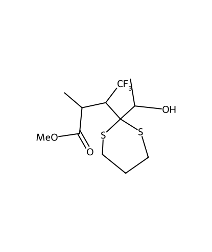 COC(=O)C(C)C(C(F)(F)F)C1(C(C)O)SCCCS1